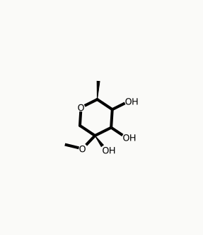 CO[C@]1(O)CO[C@@H](C)C(O)C1O